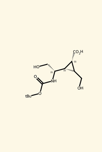 CC(C)(C)OC(=O)N[C@H](CO)[C@H]1C(CO)[C@H]1C(=O)O